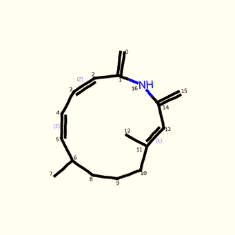 C=C1/C=C\C=C/C(C)CCC/C(C)=C/C(=C)N1